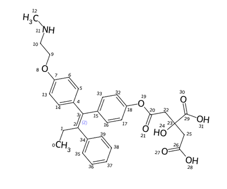 CC/C(=C(\c1ccc(OCCNC)cc1)c1ccc(OC(=O)CC(O)(CC(=O)O)C(=O)O)cc1)c1ccccc1